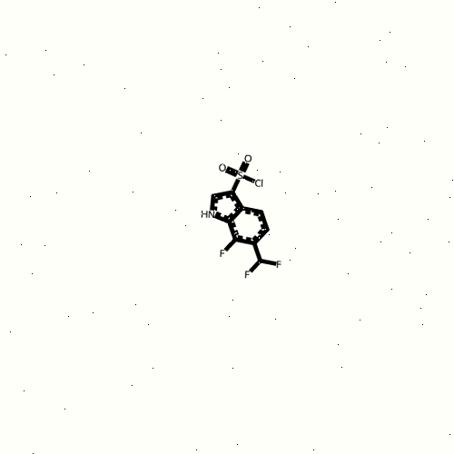 O=S(=O)(Cl)c1c[nH]c2c(F)c(C(F)F)ccc12